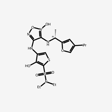 CCN(CC)S(=O)(=O)c1scc(Nc2no[n+](O)c2N[C@H](C)c2cc(C(C)C)co2)c1O